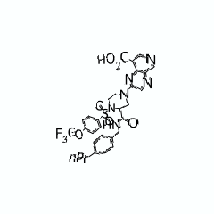 CCCc1ccc(CNC(=O)C2CN(c3cnc4cncc(C(=O)O)c4n3)CCN2S(=O)(=O)c2ccc(OC(F)(F)F)cc2)cc1